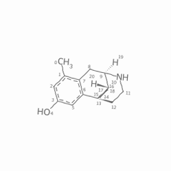 Cc1cc(O)cc2c1C[C@H]1NCC[C@@]23CCCC[C@@H]13